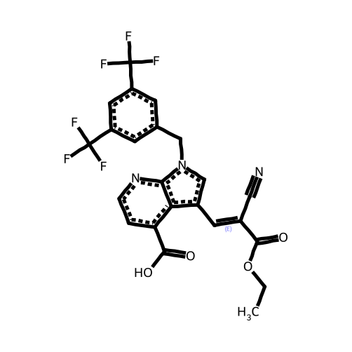 CCOC(=O)/C(C#N)=C/c1cn(Cc2cc(C(F)(F)F)cc(C(F)(F)F)c2)c2nccc(C(=O)O)c12